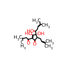 CC(C)=CCC(O)[C@]1(O)C(O)=C(C(=O)CC(C)C)C(=O)C1CC=C(C)C